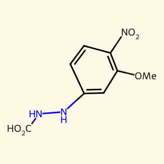 COc1cc(NNC(=O)O)ccc1[N+](=O)[O-]